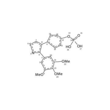 COc1cc(-c2nscc2-c2ccc(OP(=O)(O)O)cc2)cc(OC)c1OC